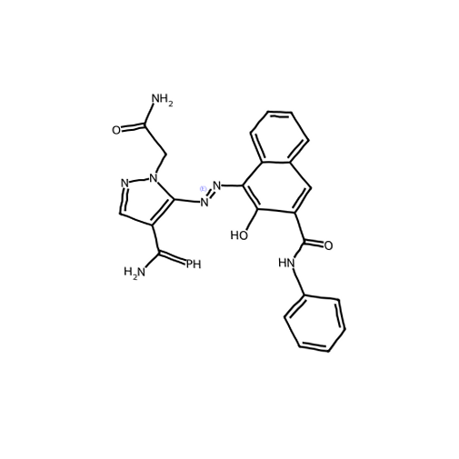 NC(=O)Cn1ncc(C(N)=P)c1/N=N/c1c(O)c(C(=O)Nc2ccccc2)cc2ccccc12